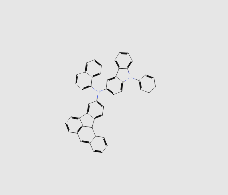 C1=CC2=Cc3cccc4c3C(c3ccc(N(c5ccc6c(c5)c5ccccc5n6C5=CCCC=C5)c5cccc6ccccc56)cc3-4)C2C=C1